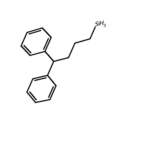 [SiH3]CCCC(c1ccccc1)c1ccccc1